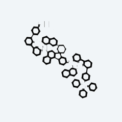 Cc1ccc(-c2cccc3c2oc2c(N(c4cccc5ccccc45)c4cc5c(c6ccccc46)-c4ccc(N(c6cccc7ccccc67)c6cccc7c6oc6c(-c8ccc([Si](c9ccccc9)(c9ccccc9)c9ccccc9)cc8)cccc67)cc4C54CCCCC4)cccc23)cc1